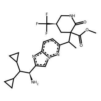 COC(=O)C1(C(C)c2ccc3nc([C@@H](N)C(C4CC4)C4CC4)cn3n2)C[C@@H](C(F)(F)F)CNC1=O